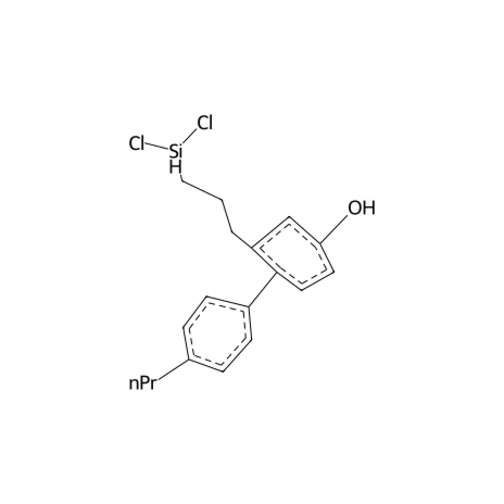 CCCc1ccc(-c2ccc(O)cc2CCC[SiH](Cl)Cl)cc1